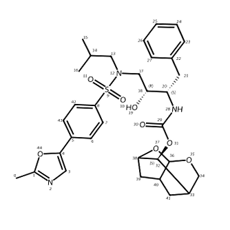 Cc1ncc(-c2ccc(S(=O)(=O)N(CC(C)C)C[C@@H](O)[C@H](Cc3ccccc3)NC(=O)O[C@H]3C4COC5OC3CC5C4)cc2)o1